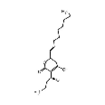 CCCCCCCC=CC1CC(O)=C(C(=O)CCC)C(=O)O1